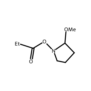 CCC(=O)ON1CCCC1OC